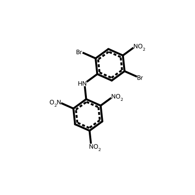 O=[N+]([O-])c1cc([N+](=O)[O-])c(Nc2cc(Br)c([N+](=O)[O-])cc2Br)c([N+](=O)[O-])c1